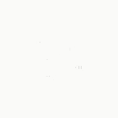 C=CC(F)(F)C(=C)C(=O)O